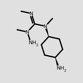 CN=C(N(C)N)N(C)[C@H]1CC[C@@H](N)CC1